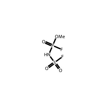 COP(=O)(F)NS(=O)(=O)F